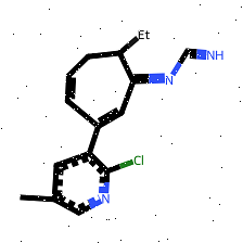 CCC1CC=CC(c2cc(C)cnc2Cl)=C/C1=N/C=N